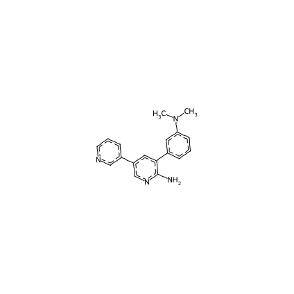 CN(C)c1cccc(-c2cc(-c3cccnc3)cnc2N)c1